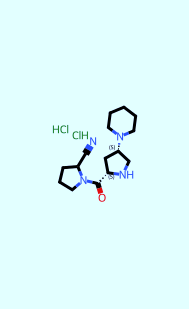 Cl.Cl.N#CC1CCCN1C(=O)[C@@H]1C[C@H](N2CCCCC2)CN1